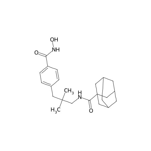 CC(C)(CNC(=O)C12CC3CC(CC(C3)C1)C2)Cc1ccc(C(=O)NO)cc1